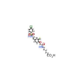 O=C(O)CCCCCNC(=O)COc1ccc(CCNS(=O)(=O)c2ccc(Cl)cc2)cc1F